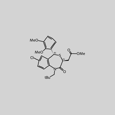 COC(=O)C[C@@H]1S[C@@H](c2cccc(OC)c2OC)c2cc(Cl)ccc2N(CC(C)(C)C)C1=O